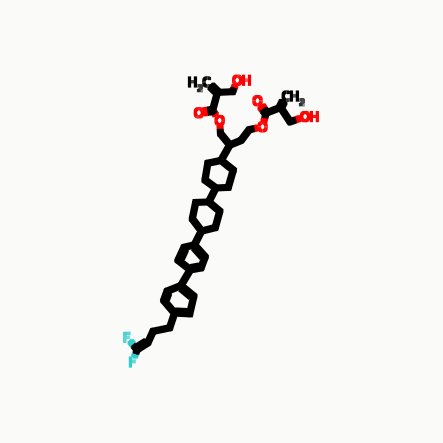 C=C(CO)C(=O)OCCC(COC(=O)C(=C)CO)C1CCC(C2CCC(c3ccc(-c4ccc(CCC=C(F)F)cc4)cc3)CC2)CC1